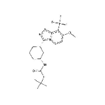 COc1ccn2c([C@H]3CCC[C@@H](NC(=O)OC(C)(C)C)C3)nnc2c1C(F)(F)F